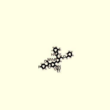 CCS(=O)(=O)Nc1cc2oc(-c3ccc(F)cc3)c(C(=O)NC)c2cc1-c1ccc(C(F)COCc2ccccc2)c(-c2cc3c(F)cccc3[nH]2)n1